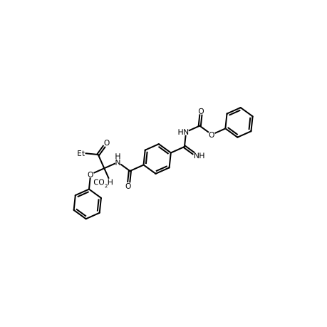 CCC(=O)C(NC(=O)c1ccc(C(=N)NC(=O)Oc2ccccc2)cc1)(Oc1ccccc1)C(=O)O